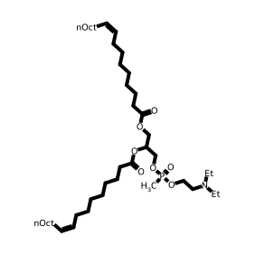 CCCCCCCC/C=C\CCCCCCCC(=O)OCC(COP(C)(=O)OCCN(CC)CC)OC(=O)CCCCCCC/C=C\CCCCCCCC